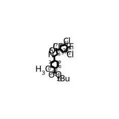 Cc1cc(C2=NO[C@@](c3cc(Cl)c(F)c(Cl)c3)(C(F)(F)F)C2)ccc1C(=O)OC(C)(C)C